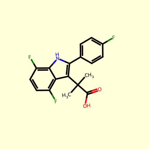 CC(C)(C(=O)O)c1c(-c2ccc(F)cc2)[nH]c2c(F)ccc(F)c12